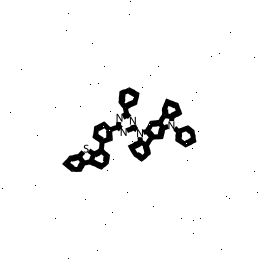 c1ccc(-c2nc(-c3cccc(-c4cccc5c4sc4ccccc45)c3)nc(-n3c4ccccc4c4cc5c(cc43)c3ccccc3n5-c3ccccc3)n2)cc1